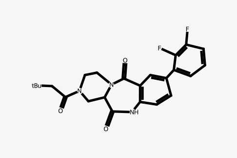 CC(C)(C)CC(=O)N1CCN2C(=O)c3cc(-c4cccc(F)c4F)ccc3NC(=O)C2C1